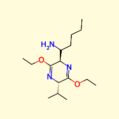 CCCCC(N)[C@H]1N=C(OCC)[C@H](C(C)C)N=C1OCC